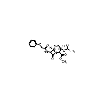 COC(=O)C1N2C(=O)C(NC(=O)COc3ccccc3)[C@H]2SC[C@@]1(C)OC(C)=O